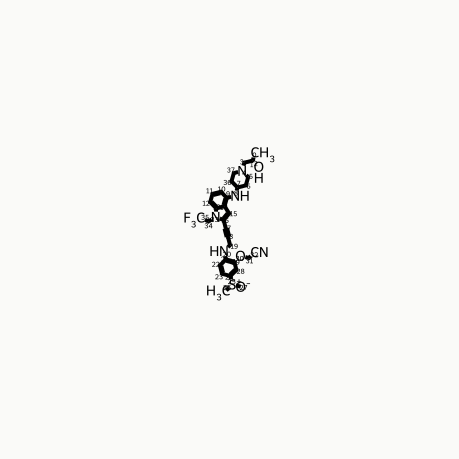 CC(O)CN1CCC(Nc2cccc3c2cc(C#CCNc2ccc([S+](C)[O-])cc2OCC#N)n3CC(F)(F)F)CC1